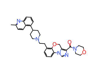 Cc1ccc2c(C3CCN(CCc4cccc5c4OCc4c(C(=O)N6CCOCC6)ncn4-5)CC3)cccc2n1